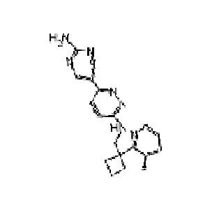 Nc1ncc(-c2ccc(NCC3(c4ncccc4F)CCC3)nn2)cn1